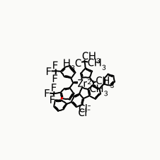 CC(C)C1C=C(C(C)(C)C)C=[C]1[Zr+2](=[C](c1cccc(C(F)(F)F)c1)c1cccc(C(F)(F)F)c1)[CH]1c2cc(-c3ccccc3)ccc2-c2ccc(-c3ccccc3)cc21.[Cl-].[Cl-]